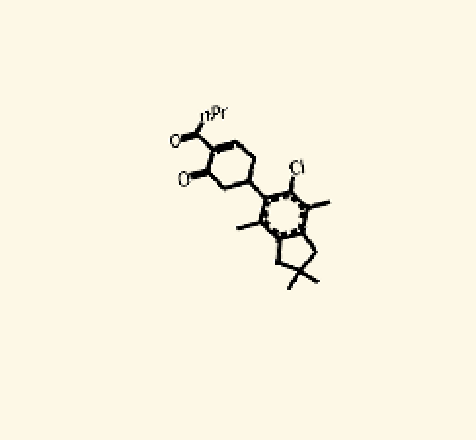 CCCC(=O)C1=CCC(c2c(C)c3c(c(C)c2Cl)CC(C)(C)C3)CC1=O